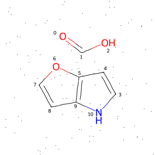 O=CO.c1cc2occc2[nH]1